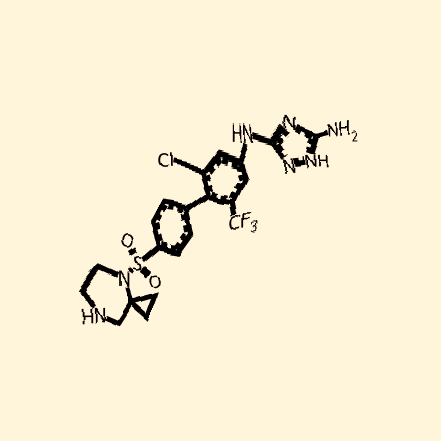 Nc1nc(Nc2cc(Cl)c(-c3ccc(S(=O)(=O)N4CCNCC45CC5)cc3)c(C(F)(F)F)c2)n[nH]1